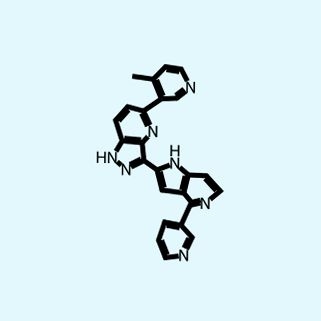 Cc1ccncc1-c1ccc2[nH]nc(-c3cc4c(-c5cccnc5)nccc4[nH]3)c2n1